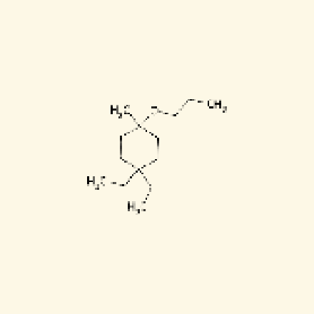 CCCOC1(C)CCC(CC)(CC)CC1